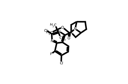 CC(C)(C)OC(=O)N1C2CCC1CN(c1nc(Cl)nc3c(F)c(Cl)ccc13)C2